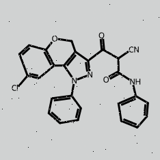 N#CC(C(=O)Nc1ccccc1)C(=O)c1nn(-c2ccccc2)c2c1COc1ccc(Cl)cc1-2